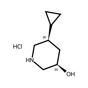 Cl.O[C@H]1CNC[C@@H](C2CC2)C1